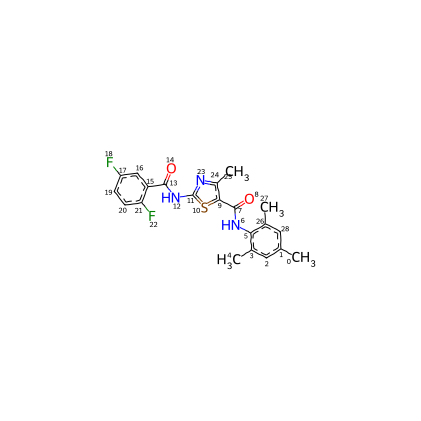 Cc1cc(C)c(NC(=O)c2sc(NC(=O)c3cc(F)ccc3F)nc2C)c(C)c1